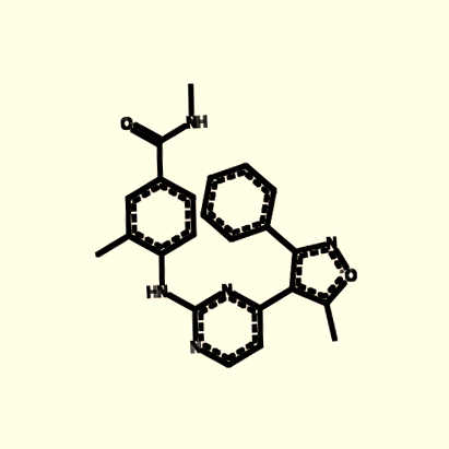 CNC(=O)c1ccc(Nc2nccc(-c3c(-c4ccccc4)noc3C)n2)c(C)c1